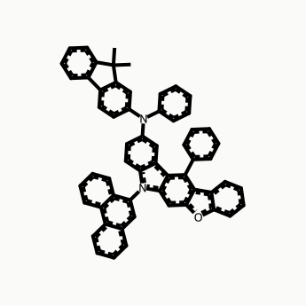 CC1(C)c2ccccc2-c2ccc(N(c3ccccc3)c3ccc4c(c3)c3c(-c5ccccc5)c5c(cc3n4-c3cc4ccccc4c4ccccc34)oc3ccccc35)cc21